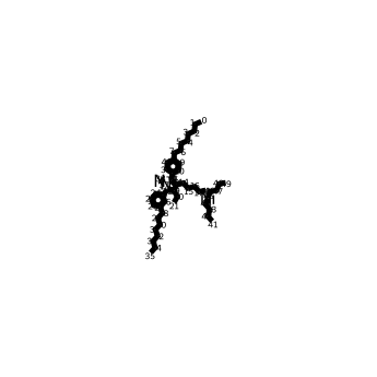 CCCCCCCCc1ccc(C2=C(CCCCC)C(CC)=C(c3cccc(CCCCCCCC)c3)[N+]2=[N-])cc1.CCC[CH2][Ni][CH2]CCC